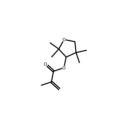 C=C(C)C(=O)OC1C(C)(C)COC1(C)C